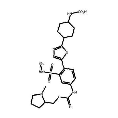 CN1CCCC1COC(=O)Nc1ccc(-c2cnc(C3CCC(NC(=O)O)CC3)s2)c(S(=O)(=O)NC(C)(C)C)c1